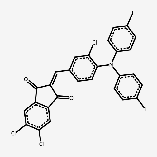 O=C1C(=Cc2ccc(N(c3ccc(I)cc3)c3ccc(I)cc3)c(Cl)c2)C(=O)c2cc(Cl)c(Cl)cc21